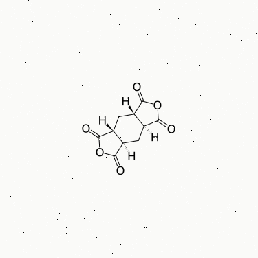 O=C1OC(=O)[C@H]2C[C@H]3C(=O)OC(=O)[C@@H]3C[C@H]12